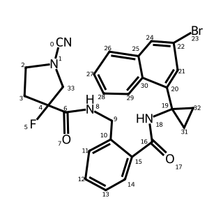 N#CN1CCC(F)(C(=O)NCc2ccccc2C(=O)NC2(c3cc(Br)cc4ccccc34)CC2)C1